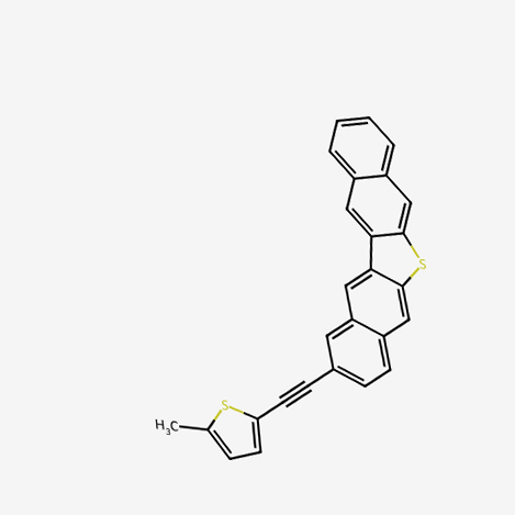 Cc1ccc(C#Cc2ccc3cc4sc5cc6ccccc6cc5c4cc3c2)s1